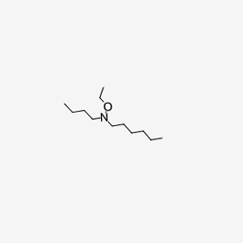 CCCCCCN(CCCC)OCC